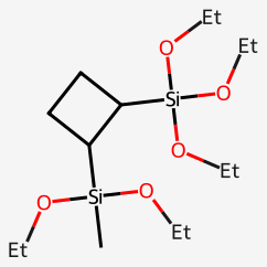 CCO[Si](C)(OCC)C1CCC1[Si](OCC)(OCC)OCC